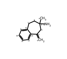 C=C1CC(C)(N)CCc2ccccc21